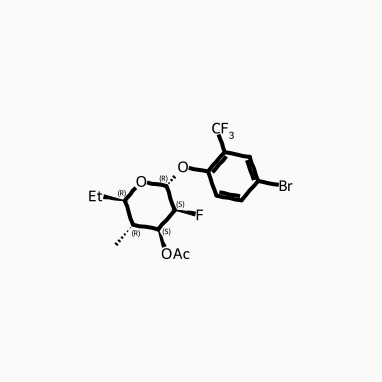 CC[C@H]1O[C@H](Oc2ccc(Br)cc2C(F)(F)F)[C@@H](F)[C@@H](OC(C)=O)[C@@H]1C